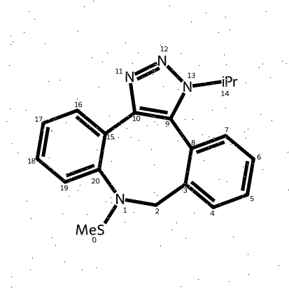 CSN1Cc2ccccc2-c2c(nnn2C(C)C)-c2ccccc21